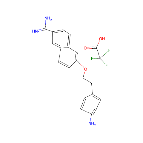 N=C(N)c1ccc2cc(OCCc3ccc(N)cc3)ccc2c1.O=C(O)C(F)(F)F